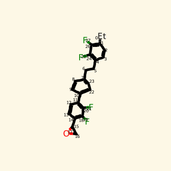 CCc1ccc(CCc2ccc(-c3ccc(C4CO4)c(F)c3F)cc2)c(F)c1F